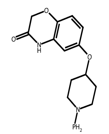 O=C1COc2ccc(OC3CCN(P)CC3)cc2N1